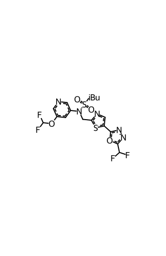 CCC(C)S(=O)(=O)N(Cc1ncc(-c2nnc(C(F)F)o2)s1)c1cncc(OC(F)F)c1